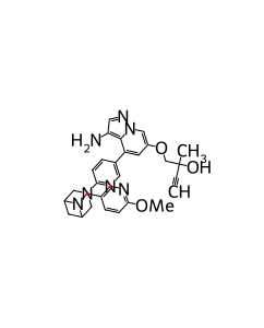 C#CC(C)(O)COc1cc(-c2ccc(N3CC4CC(C3)N4Cc3ccc(OC)nc3)nc2)c2c(N)cnn2c1